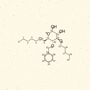 CCCCCOC[C@H]1OC(O)[C@H](O)[C@@H](OCCCCC)[C@@H]1OCc1ccccc1